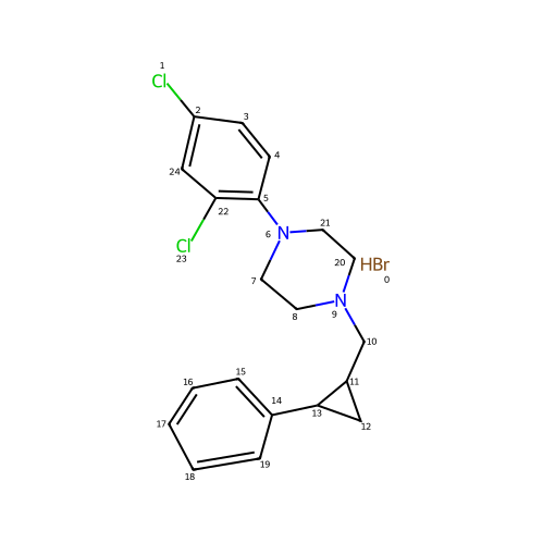 Br.Clc1ccc(N2CCN(CC3CC3c3ccccc3)CC2)c(Cl)c1